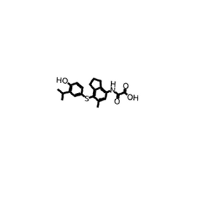 Cc1cc(NC(=O)C(=O)O)c2c(c1Sc1ccc(O)c(C(C)C)c1)CCC2